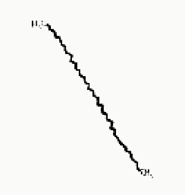 CCCCCC=CCCCCCCCCCCCCCCCCCCCCCCCCCCCCCCCCC